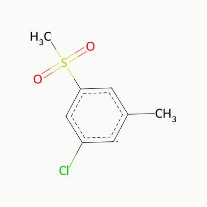 Cc1[c]c(Cl)cc(S(C)(=O)=O)c1